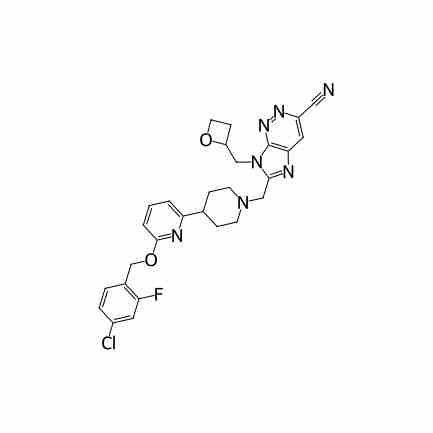 N#Cc1cc2nc(CN3CCC(c4cccc(OCc5ccc(Cl)cc5F)n4)CC3)n(CC3CCO3)c2nn1